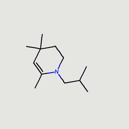 CC1=CC(C)(C)CCN1CC(C)C